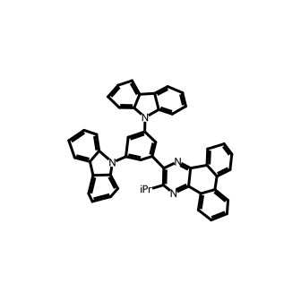 CC(C)c1nc2c3ccccc3c3ccccc3c2nc1-c1cc(-n2c3ccccc3c3ccccc32)cc(-n2c3ccccc3c3ccccc32)c1